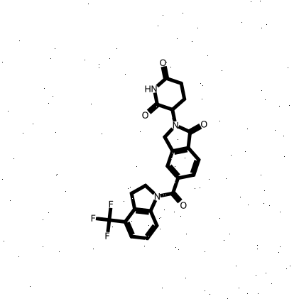 O=C1CCC(N2Cc3cc(C(=O)N4CCc5c4cccc5C(F)(F)F)ccc3C2=O)C(=O)N1